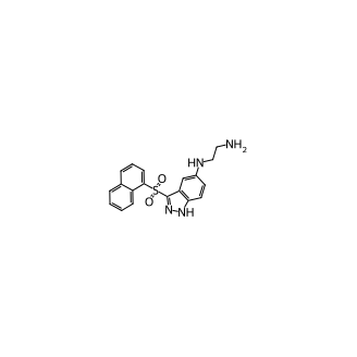 NCCNc1ccc2[nH]nc(S(=O)(=O)c3cccc4ccccc34)c2c1